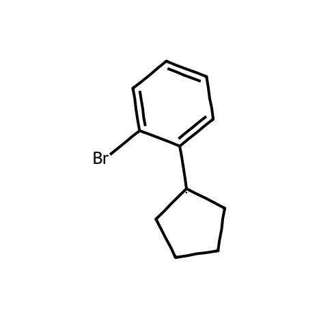 Brc1ccccc1[C]1CCCC1